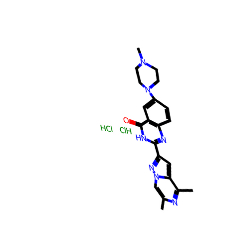 Cc1cn2nc(-c3nc4ccc(N5CCN(C)CC5)cc4c(=O)[nH]3)cc2c(C)n1.Cl.Cl